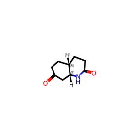 O=C1CC[C@@H]2CCC(=O)N[C@@H]2C1